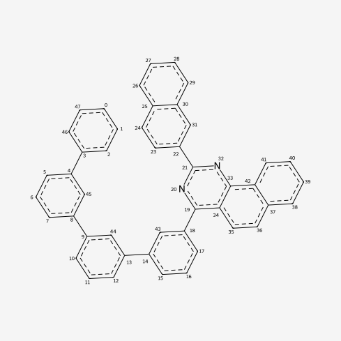 c1ccc(-c2cccc(-c3cccc(-c4cccc(-c5nc(-c6ccc7ccccc7c6)nc6c5ccc5ccccc56)c4)c3)c2)cc1